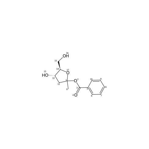 CC1(OC(=O)c2ccccc2)C[C@H](O)[C@@H](CO)O1